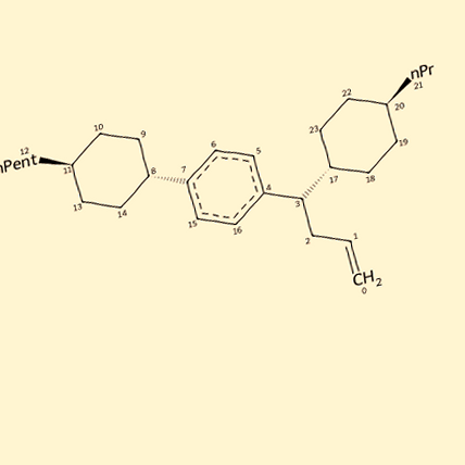 C=CCC(c1ccc([C@H]2CC[C@H](CCCCC)CC2)cc1)[C@H]1CC[C@H](CCC)CC1